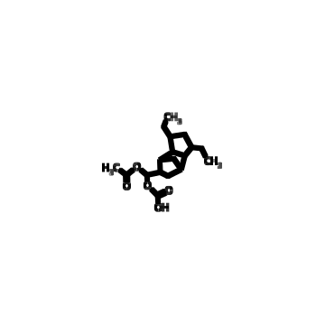 CCC1CC(CC)C2C3CC(CC3C(OC(C)=O)OC(=O)O)C12